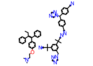 CC(C)(C#N)c1cc(Cn2cncn2)cc(C(C)(C)C#N)c1.CC/C(=C(\c1ccccc1)c1ccc(OCCN(C)C)cc1)c1ccccc1.N#Cc1ccc(C(c2ccc(C#N)cc2)n2cncn2)cc1